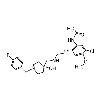 COc1cc(OCCNCC2(O)CCN(Cc3ccc(F)cc3)CC2)c(NC(C)=O)cc1Cl